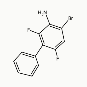 Nc1c(Br)cc(F)c(-c2ccccc2)c1F